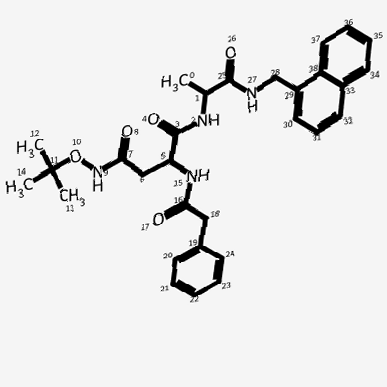 CC(NC(=O)C(CC(=O)NOC(C)(C)C)NC(=O)Cc1ccccc1)C(=O)NCc1cccc2ccccc12